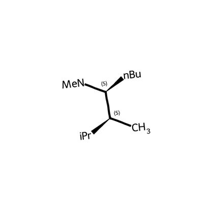 CCCC[C@H](NC)[C@@H](C)C(C)C